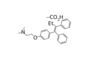 CC(=O)O.CCC(=C(c1ccccc1)c1ccc(OCCN(C)C)cc1)c1ccccc1